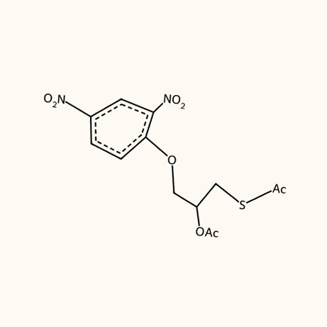 CC(=O)OC(COc1ccc([N+](=O)[O-])cc1[N+](=O)[O-])CSC(C)=O